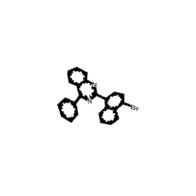 Brc1ccc(-c2nc(-c3ccccc3)c3ccccc3n2)c2ccccc12